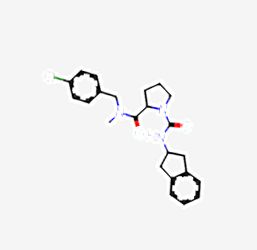 CN(Cc1ccc(Cl)cc1)C(=O)C1CCCN1C(=O)NC1Cc2ccccc2C1